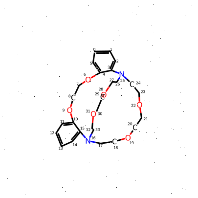 c1ccc2c(c1)OCCOc1ccccc1N1CCOCCOCCN2CCOCCOCC1